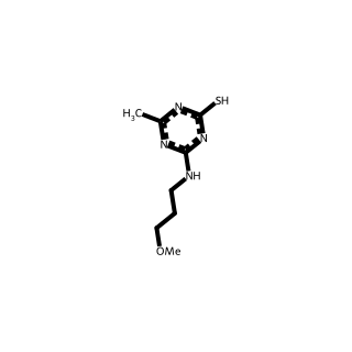 COCCCNc1nc(C)nc(S)n1